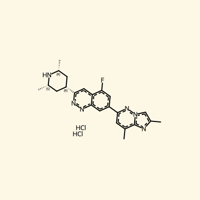 Cc1cn2nc(-c3cc(F)c4cc([C@H]5C[C@@H](C)N[C@@H](C)C5)nnc4c3)cc(C)c2n1.Cl.Cl